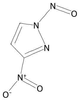 O=Nn1ccc([N+](=O)[O-])n1